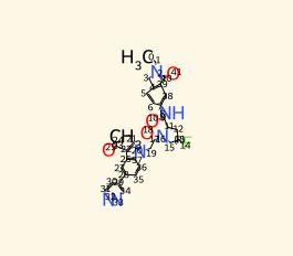 CCN1Cc2ccc(NC(=O)C3C[C@@H](F)CN3C(=O)Cn3cc(C(C)=O)c4cc(-c5ccnnc5)ccc43)cc2C1=O